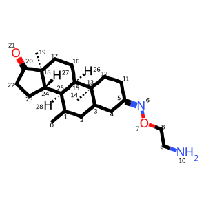 CC1CC2CC(=NOCCN)CC[C@]2(C)[C@@H]2CC[C@]3(C)C(=O)CC[C@H]3[C@H]12